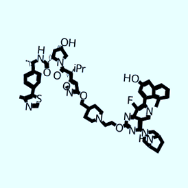 Cc1ncsc1-c1ccc([C@H](C)NC(=O)[C@@H]2C[C@@H](O)CN2C(=O)[C@@H](c2cc(OCC3CCN(CCOc4nc(N5CC6CCC(C5)N6)c5cnc(-c6cc(O)cc7cccc(C)c67)c(F)c5n4)CC3)no2)C(C)C)cc1